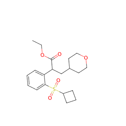 CCOC(=O)C(CC1CCOCC1)c1ccccc1S(=O)(=O)C1CCC1